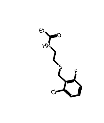 CCC(=O)NCCSCc1c(F)cccc1Cl